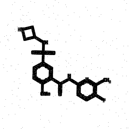 COc1ccc(S(=O)(=O)NC2CNC2)cc1C(=O)Nc1ccc(F)c(C)n1